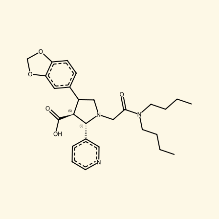 CCCCN(CCCC)C(=O)CN1CC(c2ccc3c(c2)OCO3)[C@H](C(=O)O)[C@H]1c1cccnc1